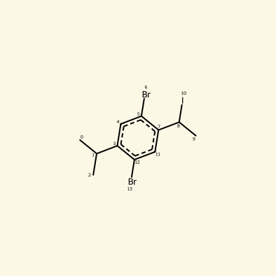 CC(C)c1cc(Br)c(C(C)I)cc1Br